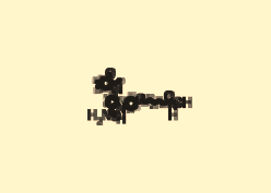 Cc1nn(-c2ccc(C(N)=O)c(NC3CCC(OCCCCCC(=O)NO)CC3)c2)c2c1C(=O)CC(C)(C)C2